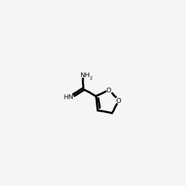 N=C(N)C1=CCOO1